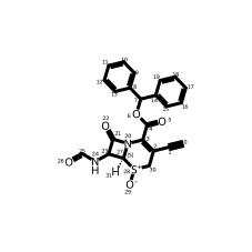 C#CC1=C(C(=O)OC(c2ccccc2)c2ccccc2)N2C(=O)C(NC=O)[C@@H]2[S+]([O-])C1